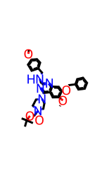 COc1ccc(CNc2nc(N3CCN(C(=O)OC(C)(C)C)CC3)c3cc(OC)c(OCc4ccccc4)cc3n2)cc1